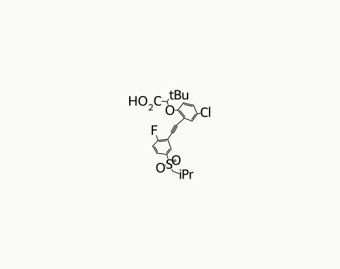 CC(C)CS(=O)(=O)c1ccc(F)c(C#Cc2cc(Cl)ccc2OC(C(=O)O)C(C)(C)C)c1